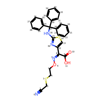 N#CCSCCON=C(C(=O)O)c1csc(NC(c2ccccc2)(c2ccccc2)c2ccccc2)n1